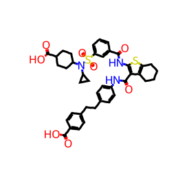 O=C(O)c1ccc(CCc2ccc(NC(=O)c3c(NC(=O)c4cccc(S(=O)(=O)N(C5CCC(C(=O)O)CC5)C5CC5)c4)sc4c3CCCC4)cc2)cc1